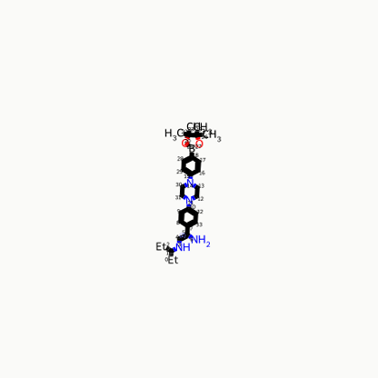 CCC(CC)N/C=C(\N)c1ccc(N2CCN(c3ccc(B4OC(C)(C)C(C)(C)O4)cc3)CC2)cc1